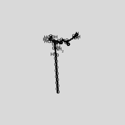 COCCOCCOCCOCCOCCOCCOCCOCCOCCOCCOCCOCCC(=O)NCCCC[C@H](N)C(=O)NCCC(=O)Nc1cc(O[C@@H]2O[C@H](C(=O)O)[C@@H](O)[C@H](O)[C@H]2O)ccc1COC(=O)Nc1cccc(C(=O)N(C)CCON(C(=O)CCCCCCNC(=O)Nc2ccncc2)C2CCCCC2)c1